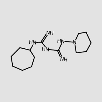 N=C(NC(=N)NN1CCCCC1)NC1CCCCCC1